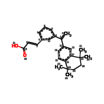 C=C(c1cccc(/C=C/C(=O)O)c1)c1ccc2c(c1)C(C)(C)CCC2(C)C